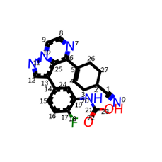 N#CC1CC=C(c2nccn3ncc(-c4ccc(F)c(NC(=O)O)c4)c23)CC1